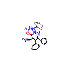 CC(=O)N(N)n1nc(-c2ccccc2)c(-c2ccccc2)c(C#N)c1=O